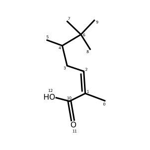 CC(=CCC(C)C(C)(C)C)C(=O)O